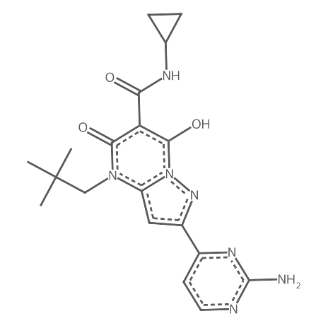 CC(C)(C)Cn1c(=O)c(C(=O)NC2CC2)c(O)n2nc(-c3ccnc(N)n3)cc12